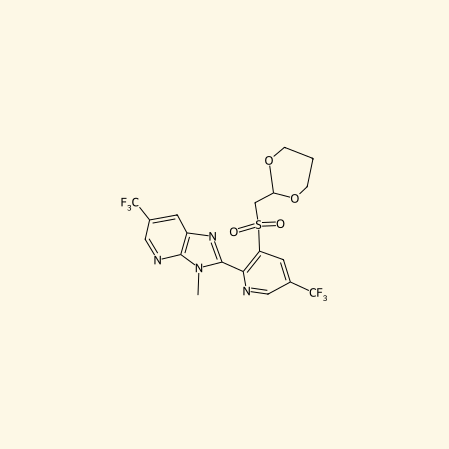 Cn1c(-c2ncc(C(F)(F)F)cc2S(=O)(=O)CC2OCCCO2)nc2cc(C(F)(F)F)cnc21